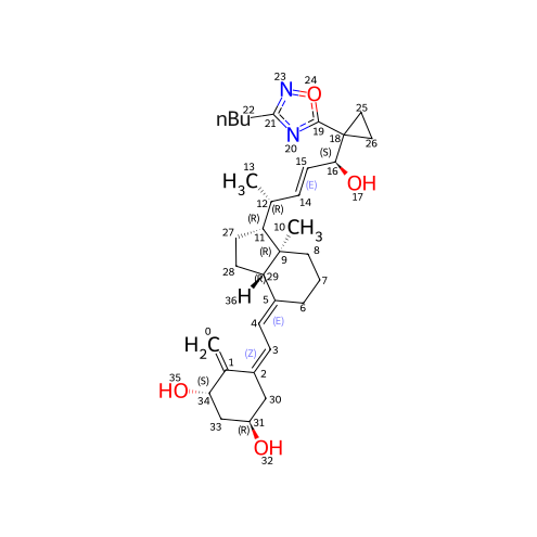 C=C1/C(=C\C=C2/CCC[C@]3(C)[C@@H]([C@H](C)/C=C/[C@H](O)C4(c5nc(CCCC)no5)CC4)CC[C@@H]23)C[C@@H](O)C[C@@H]1O